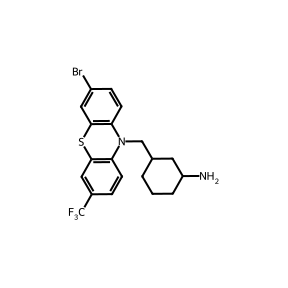 NC1CCCC(CN2c3ccc(Br)cc3Sc3cc(C(F)(F)F)ccc32)C1